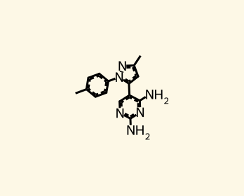 Cc1ccc(-n2nc(C)cc2-c2cnc(N)nc2N)cc1